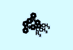 CC1c2ccc(-n3c4ccccc4c4ccccc43)cc2C(C)(c2ccc(-n3c4ccccc4c4ccccc43)cc2)C1C